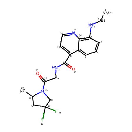 CNBNc1cccc2c(C(=O)NCC(=O)N3CC(F)(F)CC3C#N)ccnc12